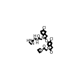 O=C(CN1C(=O)Cc2cc(Cl)ccc21)N1CC=CC1.O=C(CN1C(=O)Cc2cc(Cl)ccc21)NNC1=NCCN1